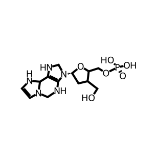 O=P(O)(O)OCC1O[C@@H](N2CNC3=C2NCN2C=CNC32)CC1CO